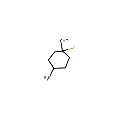 O=CC1(F)CCC(C(F)(F)F)CC1